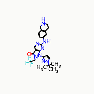 CC(C)(C)n1ccc(-n2c3nc(Nc4ccc5c(c4)CCNC5)ncc3c(=O)n2CC(F)(F)F)n1